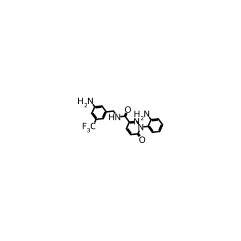 Nc1cc(CNC(=O)c2ccc(=O)n(-c3ccccc3N)n2)cc(C(F)(F)F)c1